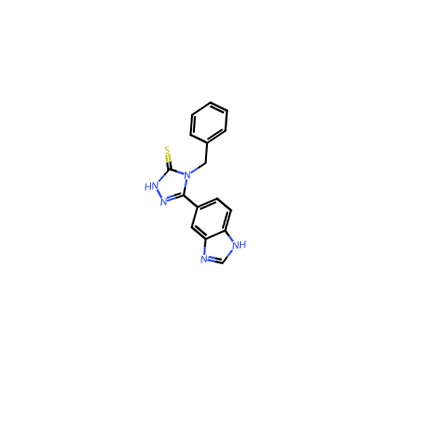 S=c1[nH]nc(-c2ccc3[nH]cnc3c2)n1Cc1ccccc1